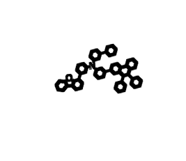 c1ccc(-c2cccc(N(c3cccc(-c4ccc5c(c4)c(-c4ccccc4)c(-c4ccccc4)c4ccccc45)c3)c3cccc(-c4cccc5c4oc4ccccc45)c3)c2)cc1